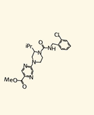 COC(=O)c1cnc(N2CCN(C(=O)NCc3ccccc3Cl)C(C(C)C)C2)cn1